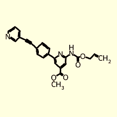 C=CCOC(=O)Nc1cc(C(=O)OC)cc(-c2ccc(C#Cc3cccnc3)cc2)n1